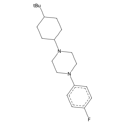 CC(C)(C)C1CCC(N2CCN(c3ccc(F)cc3)CC2)CC1